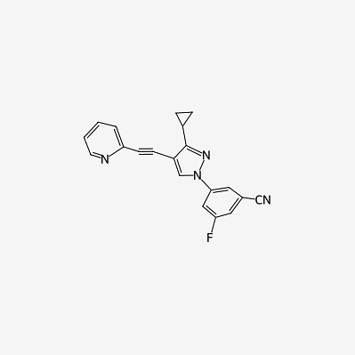 N#Cc1cc(F)cc(-n2cc(C#Cc3ccccn3)c(C3CC3)n2)c1